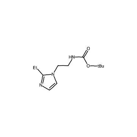 CCc1nccn1CCNC(=O)OC(C)(C)C